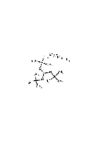 CC(C)(C)[O][Al]([O]C(C)(C)C)[O]C(C)(C)C.[Al+3].[H-].[H-].[H-].[H-].[Li+]